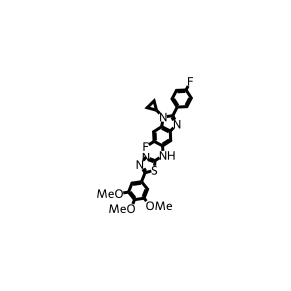 COc1cc(-c2nnc(Nc3cc4nc(-c5ccc(F)cc5)n(C5CC5)c4cc3F)s2)cc(OC)c1OC